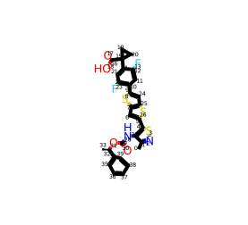 Cc1nsc(-c2cc3sc(-c4cc(F)c(C5(C(=O)O)CC5)cc4F)cc3s2)c1NC(=O)O[C@H](C)c1ccccc1